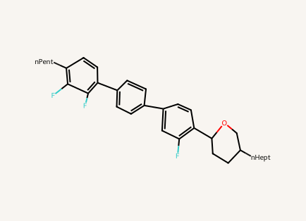 CCCCCCCC1CCC(c2ccc(-c3ccc(-c4ccc(CCCCC)c(F)c4F)cc3)cc2F)OC1